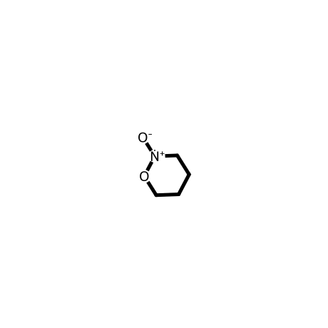 [O-][N+]1CCCCO1